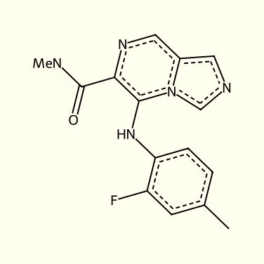 CNC(=O)c1ncc2cncn2c1Nc1ccc(C)cc1F